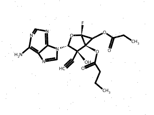 C#C[C@]1(O)[C@H](n2cnc3c(N)ncnc32)O[C@]2(F)C(OC(=O)CC)[C@@]21OC(=O)CCC